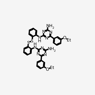 CCOc1cccc(-c2nc(N)nc(Nc3ccccc3SSc3ccccc3Nc3nc(N)nc(-c4cccc(OCC)c4)n3)n2)c1